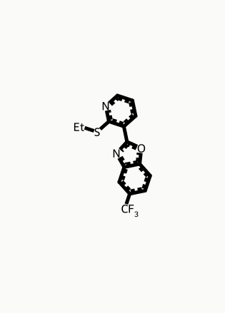 CCSc1ncccc1-c1nc2cc(C(F)(F)F)ccc2o1